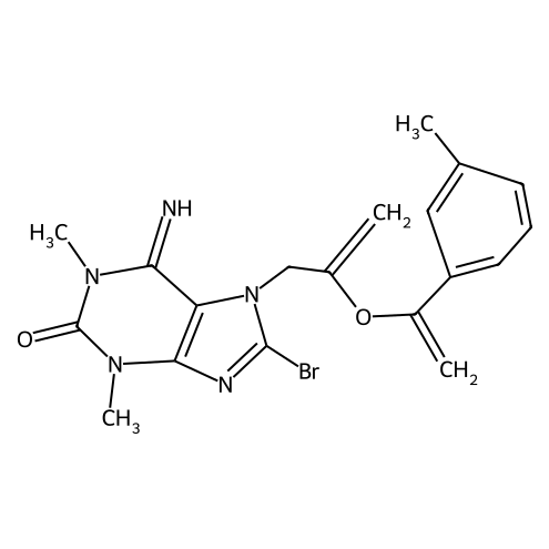 C=C(Cn1c(Br)nc2c1c(=N)n(C)c(=O)n2C)OC(=C)c1cccc(C)c1